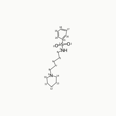 O=S(=O)(NCCCCCN1CC[CH]CC1)c1ccccc1